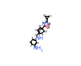 Nc1cccc(NCC23CCC(c4nc(C5CC5)no4)(CC2)CC3)c1